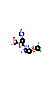 COCC(COC)Nc1cc(N2CCN(C)CC2)ccc1C(=O)Nc1n[nH]c2ccc(S(=O)(=O)c3cc(F)cc(F)c3)cc12